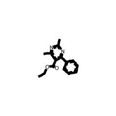 CCOC(=O)c1c(C)nc(C)nc1-c1ccccc1